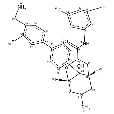 CN1C[C@@H]2CN(C(=O)Nc3cc(F)cc(F)c3)C[C@H](C1)[C@]2(O)c1ccc(-c2ccc(CN)c(F)c2)cn1